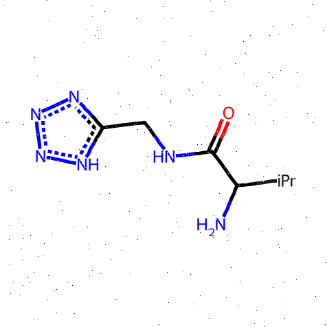 CC(C)C(N)C(=O)NCc1nnn[nH]1